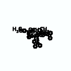 COC(=O)CN(Cc1ccc(OC)cc1)Cc1cccc(CNC(=O)CC(C=CCCSC(c2ccccc2)(c2ccccc2)c2ccccc2)OC(=O)C(NC(=O)OCC2c3ccccc3-c3ccccc32)C(C)C)n1